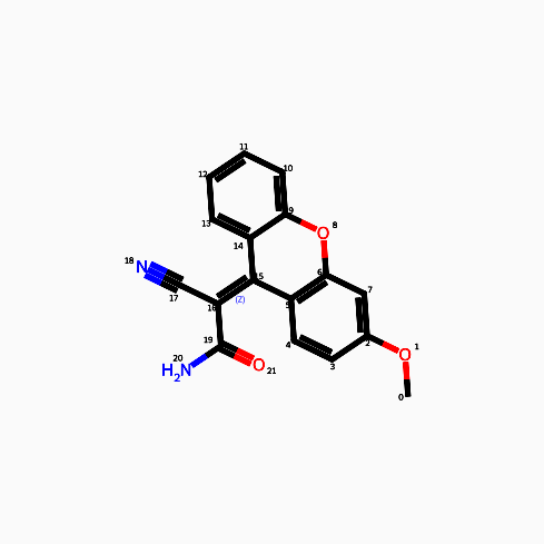 COc1ccc2c(c1)Oc1ccccc1/C2=C(\C#N)C(N)=O